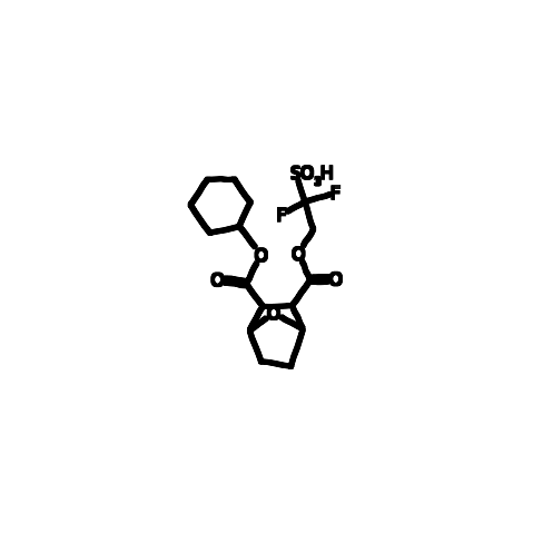 O=C(OCC(F)(F)S(=O)(=O)O)C1C2CCC(O2)C1C(=O)OC1CCCCC1